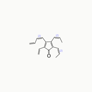 C=C/C=C\C1=C(C=C)C(=O)C(/C=C\C)=C1/C=C\C